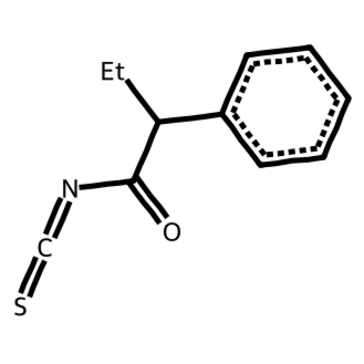 CCC(C(=O)N=C=S)c1ccccc1